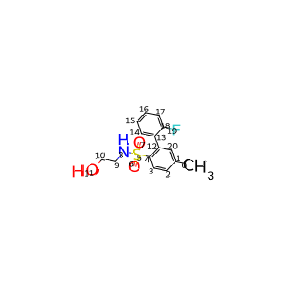 Cc1ccc(S(=O)(=O)NCCO)c(-c2ccccc2F)c1